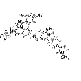 C=C(C1CCN(Cc2ccc(-n3c(C(=O)NCC(F)(F)F)nnc3-c3ccc(O)cc3O)cc2)CC1)N1CCC2(CC1)CCN([C@H]1CCN(C)C1)CC2